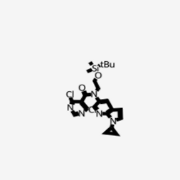 CC(C)(C)[Si](C)(C)OCCN(C(=O)c1c(Cl)ncnc1Cl)c1cnc2c(ccn2C2CC2)c1